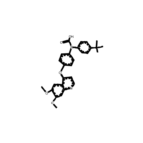 COc1cc2nccc(Oc3ccc(N(C(=O)O)c4ccc(C(C)(C)C)cc4)cc3)c2cc1OC